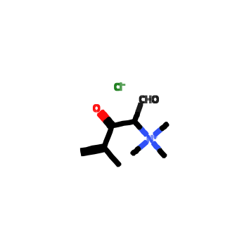 C=C(C)C(=O)C(C=O)[N+](C)(C)C.[Cl-]